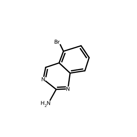 Nc1ncc2c(Br)cccc2n1